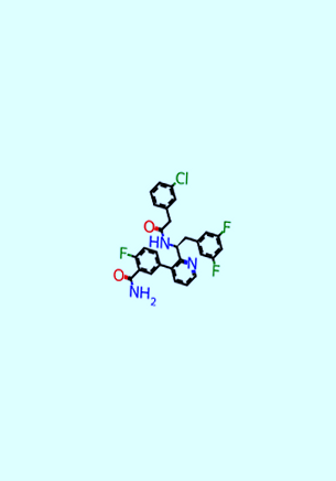 NC(=O)c1cc(-c2cccnc2[C@H](Cc2cc(F)cc(F)c2)NC(=O)Cc2cccc(Cl)c2)ccc1F